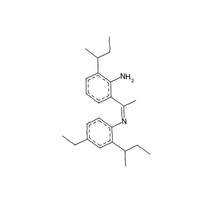 CCc1ccc(/N=C(/C)c2cccc(C(C)CC)c2N)c(C(C)CC)c1